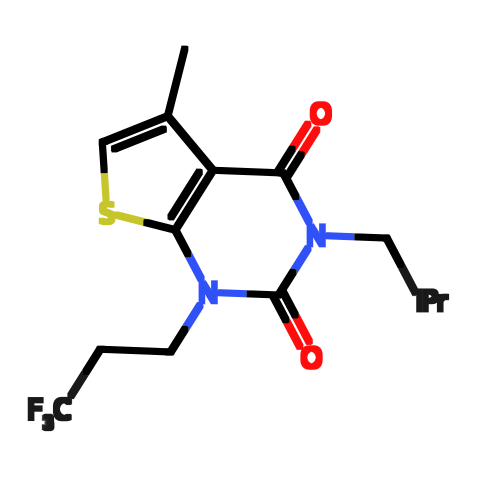 Cc1csc2c1c(=O)n(CC(C)C)c(=O)n2CCC(F)(F)F